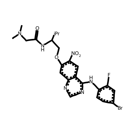 CC(C)C(COc1cc2ncnc(Nc3ccc(Br)cc3F)c2cc1[N+](=O)[O-])NC(=O)CN(C)C